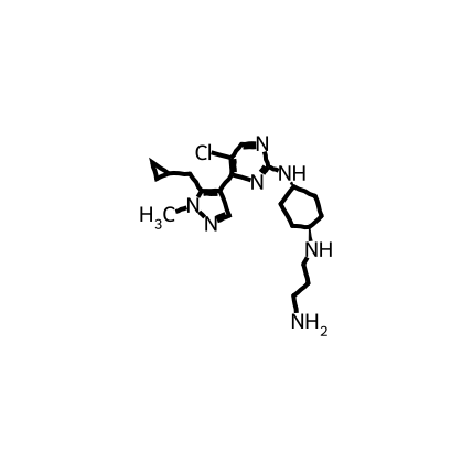 Cn1ncc(-c2nc(N[C@H]3CC[C@H](NCCCN)CC3)ncc2Cl)c1CC1CC1